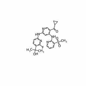 CC(C)(O)c1ccc(Nc2cc(Nc3ncccc3S(C)(=O)=O)c(C(=O)C3CC3)cn2)nc1F